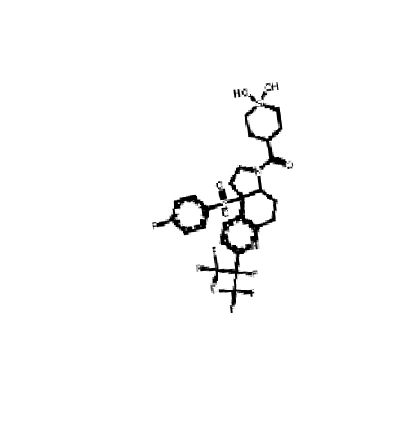 O=C(C1CCS(O)(O)CC1)N1CCC2(S(=O)(=O)c3ccc(F)cc3)c3ccc(C(F)(C(F)(F)F)C(F)(F)F)nc3CCC12